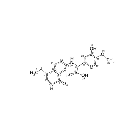 CCc1c[nH]c(=O)c2cc(NC(C(=O)O)c3ccc(OC)c(O)c3)ccc12